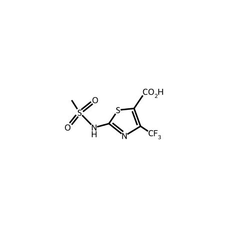 CS(=O)(=O)Nc1nc(C(F)(F)F)c(C(=O)O)s1